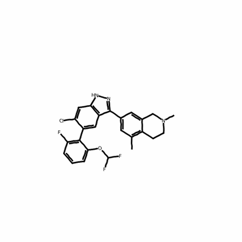 Cc1cc(-c2n[nH]c3cc(Cl)c(-c4c(F)cccc4OC(F)F)cc23)cc2c1CCN(C)C2